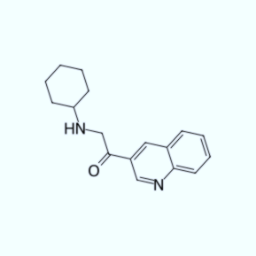 O=C(CNC1CCCCC1)c1cnc2ccccc2c1